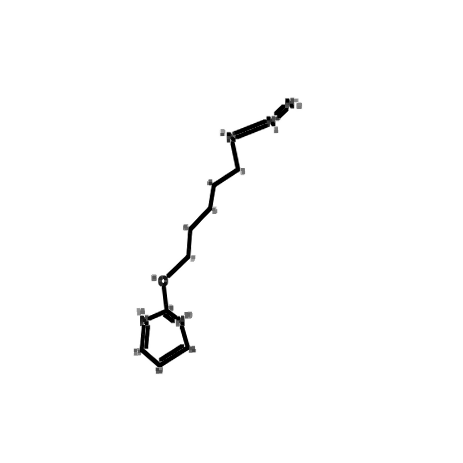 [N-]=[N+]=NCCCCCOc1ncccn1